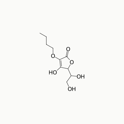 CCCCOC1=C(O)C(C(O)CO)OC1=O